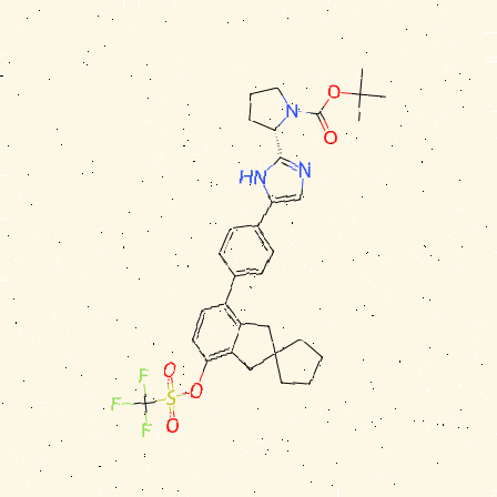 CC(C)(C)OC(=O)N1CCC[C@H]1c1ncc(-c2ccc(-c3ccc(OS(=O)(=O)C(F)(F)F)c4c3CC3(CCCC3)C4)cc2)[nH]1